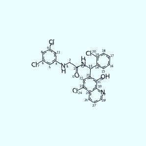 O=C(CNc1cc(Cl)cc(Cl)c1)NC(c1ccccc1Cl)c1cc(Cl)c2cccnc2c1O